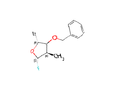 CC[C@H]1O[C@@H](F)[C@H](C)C1OCc1ccccc1